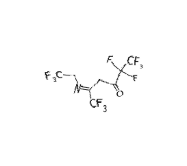 O=C(CC(=NCC(F)(F)F)C(F)(F)F)C(F)(F)C(F)(F)F